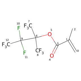 C=C(C)C(=O)OC(C(F)(F)F)(C(F)(F)F)C(F)(F)C(F)(F)F